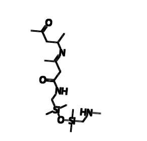 CNC[Si](C)(C)O[Si](C)(C)CNC(=O)C/C(C)=N/C(C)CC(C)=O